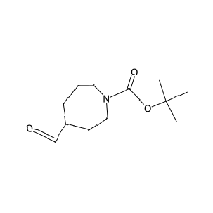 CC(C)(C)OC(=O)N1CCCC(C=O)CC1